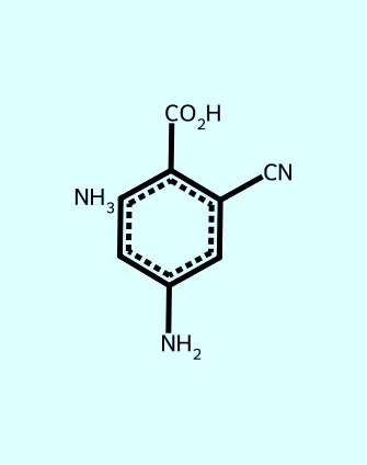 N.N#Cc1cc(N)ccc1C(=O)O